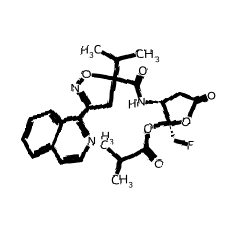 CC(C)C(=O)O[C@]1(CF)OC(=O)C[C@@H]1NC(=O)C1(C(C)C)CC(c2nccc3ccccc23)=NO1